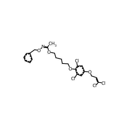 CC(=NOCc1ccccc1)OCCCCCOc1c(Cl)cc(OCC=C(Cl)Cl)cc1Cl